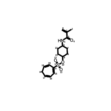 C=C(C)C(=O)NC1CCC(OS(=O)(=O)C2=CC=CCC=C2)CC1